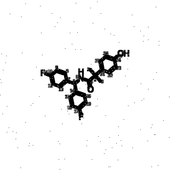 CC(C)(C(=O)NC(c1ccc(F)cc1)c1ccc(F)cc1)c1ccc(O)cc1